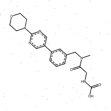 CN(Cc1cccc(-c2cnc(N3CCOCC3)nc2)c1)C(=O)CNC(=O)O